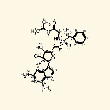 CC(C)OC(=O)[C@H](C)N[P@](=O)(OC[C@H]1O[C@@H](n2cnc3c(N)nc(N)nc32)[C@@](F)(Cl)[C@@H]1O)Oc1ccccc1